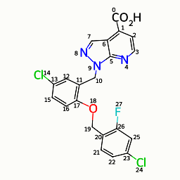 O=C(O)c1ccnc2c1cnn2Cc1cc(Cl)ccc1OCc1ccc(Cl)cc1F